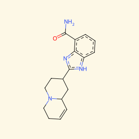 NC(=O)c1cccc2[nH]c(C3CCN4CCC=CC4C3)nc12